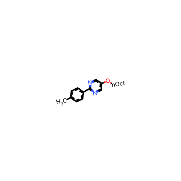 CCCCCCCCOc1cnc(-c2ccc(C)cc2)nc1